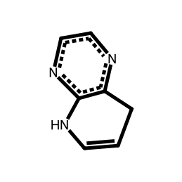 C1=CNc2nccnc2C1